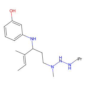 C/C=C(\C)C(CCN(C)NNC(C)C)Nc1cccc(O)c1